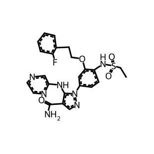 CCS(=O)(=O)Nc1ccc(-n2ncc(C(N)=O)c2Nc2cnccn2)cc1OCCc1ccccc1F